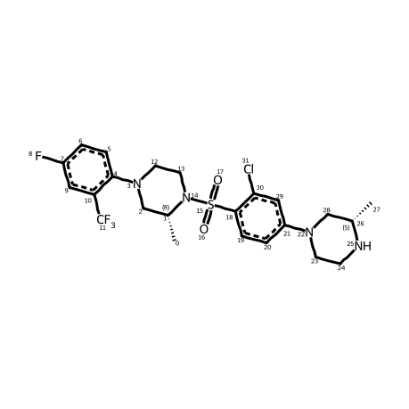 C[C@@H]1CN(c2ccc(F)cc2C(F)(F)F)CCN1S(=O)(=O)c1ccc(N2CCN[C@@H](C)C2)cc1Cl